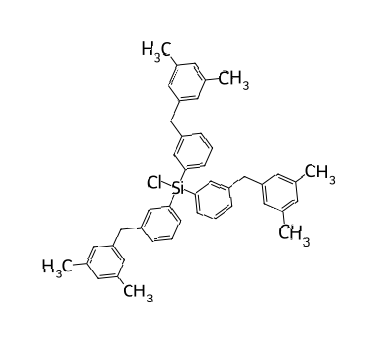 Cc1cc(C)cc(Cc2cccc([Si](Cl)(c3cccc(Cc4cc(C)cc(C)c4)c3)c3cccc(Cc4cc(C)cc(C)c4)c3)c2)c1